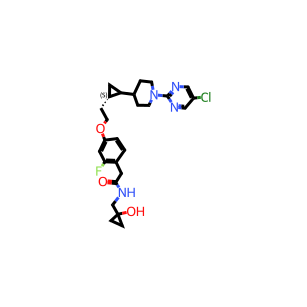 O=C(Cc1ccc(OCC[C@@H]2CC2C2CCN(c3ncc(Cl)cn3)CC2)cc1F)NCC1(O)CC1